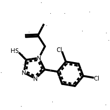 C=C(C)Cn1c(S)nnc1-c1ccc(Cl)cc1Cl